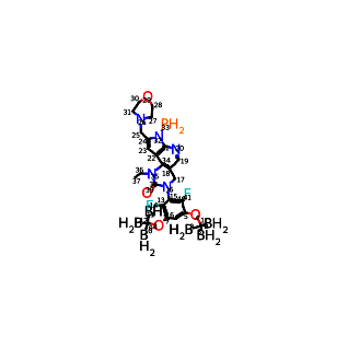 BC(B)(B)Oc1cc(OC(B)(B)B)c(F)c(N2Cc3cnc4c(cc(CN5CCOCC5)n4P)c3N(CC)C2=O)c1F